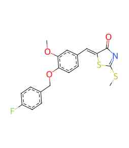 COc1cc(/C=C2\SC(SC)=NC2=O)ccc1OCc1ccc(F)cc1